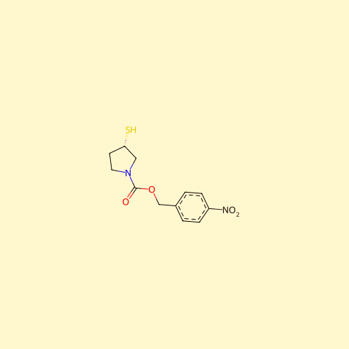 O=C(OCc1ccc([N+](=O)[O-])cc1)N1CC[C@H](S)C1